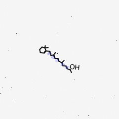 CC(/C=C/C=C(C)/C=C/C1=CCCCC1(C)C)=C\C=C\C(C)O